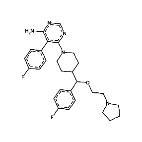 Nc1ncnc(N2CCC(C(OCCN3CCCC3)c3ccc(F)cc3)CC2)c1-c1ccc(F)cc1